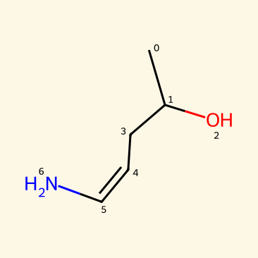 CC(O)C/C=C\N